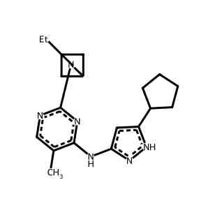 CCC12CC(C1)N(c1ncc(C)c(Nc3cc(C4CCCC4)[nH]n3)n1)C2